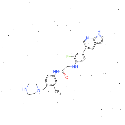 O=C(CNc1ccc(-c2cnc3[nH]ccc3c2)cc1F)Nc1ccc(CN2CCNCC2)c(C(F)(F)F)c1